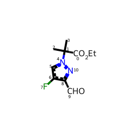 CCOC(=O)C(C)(C)n1cc(F)c(C=O)n1